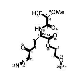 CO[C@@H](C)C(=O)N[C@@H](CCC(=O)C=[N+]=[N-])C(=O)OCCOC(C)C